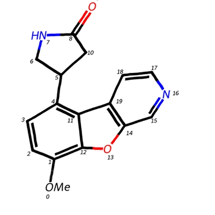 COc1ccc(C2CNC(=O)C2)c2c1oc1cnccc12